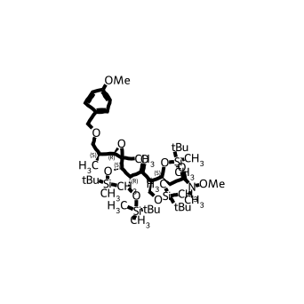 COc1ccc(COC[C@H](C)[C@H]2OC2(C)[C@@H](O[Si](C)(C)C(C)(C)C)[C@@H](CO[Si](C)(C)C(C)(C)C)C(=O)[C@H](CO[Si](C)(C)C(C)(C)C)[C@H](CC(=O)N(C)OC)O[Si](C)(C)C(C)(C)C)cc1